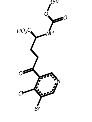 CC(C)(C)OC(=O)NC(CCC(=O)c1cncc(Br)c1Cl)C(=O)O